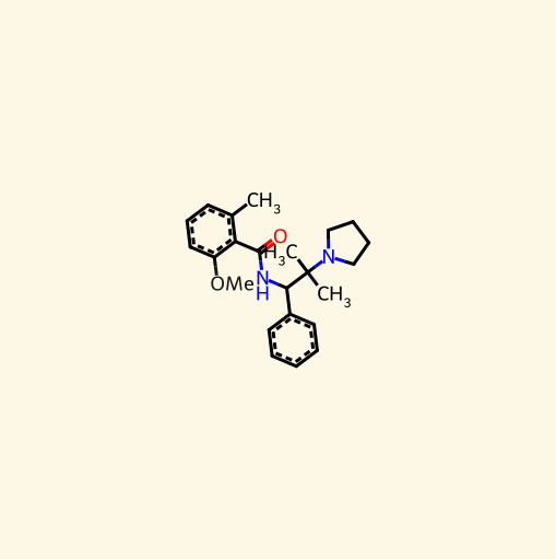 COc1cccc(C)c1C(=O)NC(c1ccccc1)C(C)(C)N1CCCC1